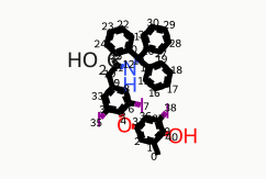 Cc1cc(Oc2c(I)cc(CC(NC(c3ccccc3)(c3ccccc3)c3ccccc3)C(=O)O)cc2I)cc(I)c1O